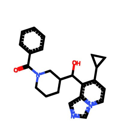 O=C(c1ccccc1)N1CCCC(C(O)c2c(C3CC3)ccn3cncc23)C1